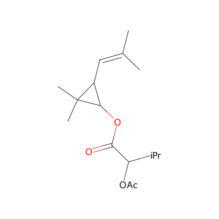 CC(=O)OC(C(=O)OC1C(C=C(C)C)C1(C)C)C(C)C